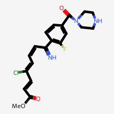 COC(=O)/C=C/C(Cl)=C/C=C\C(=N)c1ccc(C(=O)N2CCNCC2)cc1F